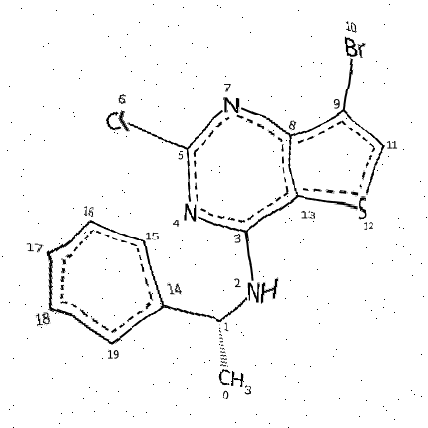 C[C@@H](Nc1nc(Cl)nc2c(Br)csc12)c1ccccc1